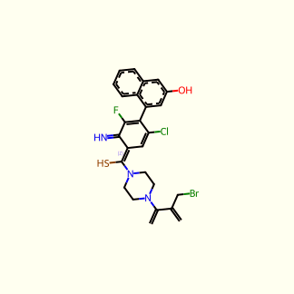 C=C(CBr)C(=C)N1CCN(/C(S)=C2\C=C(Cl)C(c3cc(O)cc4ccccc34)=C(F)C2=N)CC1